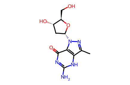 Cc1nn([C@@H]2C[C@H](O)[C@@H](CO)O2)c2c(=O)nc(N)[nH]c12